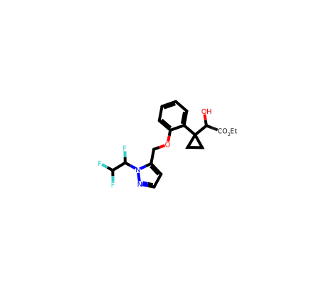 CCOC(=O)C(O)C1(c2ccccc2OCc2ccnn2C(F)C(F)F)CC1